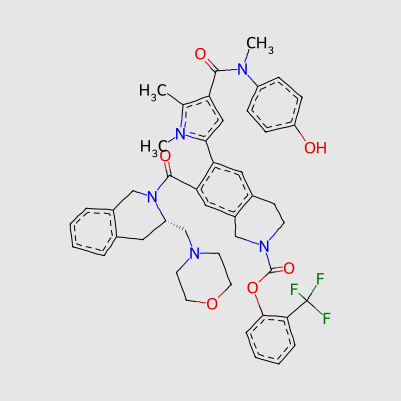 Cc1c(C(=O)N(C)c2ccc(O)cc2)cc(-c2cc3c(cc2C(=O)N2Cc4ccccc4C[C@H]2CN2CCOCC2)CN(C(=O)Oc2ccccc2C(F)(F)F)CC3)n1C